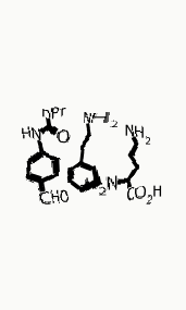 CCCC(=O)Nc1ccc(C=O)cc1.NCCCC(N)C(=O)O.NCCc1ccccc1